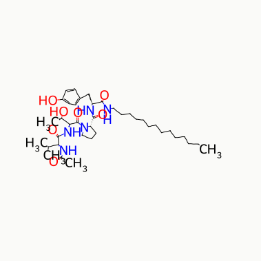 CCCCCCCCCCCCCCNC(=O)[C@H](Cc1ccc(O)cc1)NC(=O)[C@@H]1CCCN1C(=O)[C@@H](NC(=O)[C@@H](NC(C)=O)C(C)C)[C@@H](C)O